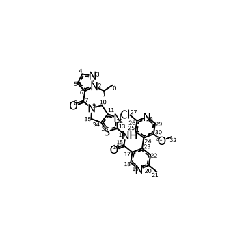 CCn1nccc1C(=O)N1Cc2nc(NC(=O)c3cnc(C)cc3-c3cc(Cl)ncc3OC)sc2C1